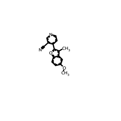 COc1ccc2oc(-c3ccncc3C#N)c(C)c2c1